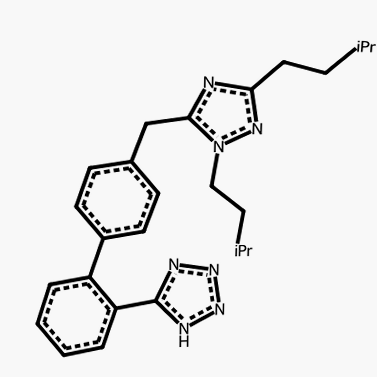 CC(C)CCc1nc(Cc2ccc(-c3ccccc3-c3nnn[nH]3)cc2)n(CCC(C)C)n1